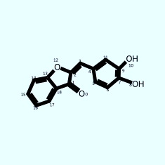 O=C1C(=Cc2ccc(O)c(O)c2)Oc2ccccc21